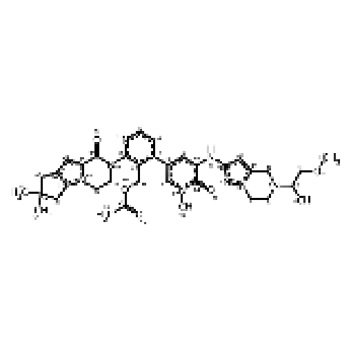 COCC(C)N1CCn2nc(Nc3cc(-c4ccnc(N5CCn6c(cc7c6CC(C)(C)C7)C5=O)c4COC(C)=O)cn(C)c3=O)cc2C1